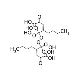 CCCC/C(=C/C(=O)OO)C(OO)(OO)OOC(OO)(OO)/C(=C\C(=O)OO)CCCC